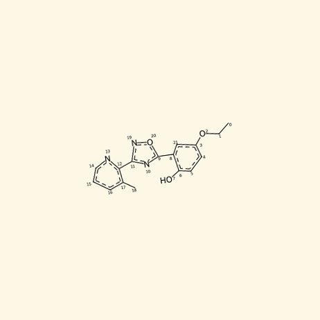 CCOc1ccc(O)c(-c2nc(-c3ncccc3C)no2)c1